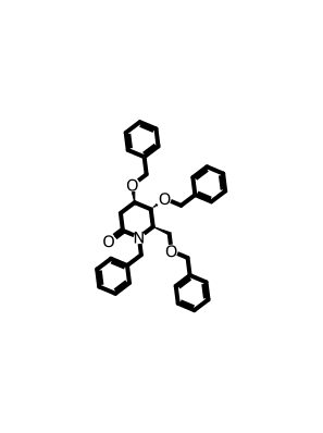 O=C1C[C@@H](OCc2ccccc2)[C@H](OCc2ccccc2)[C@@H](COCc2ccccc2)N1Cc1ccccc1